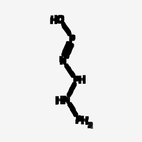 OP=NPNP